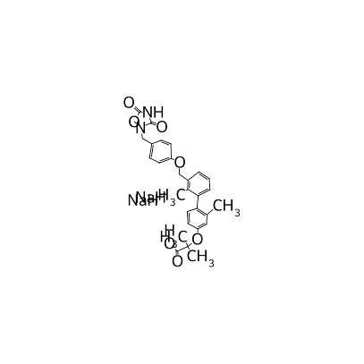 Cc1cc(OC(C)(C)C(=O)O)ccc1-c1cccc(COc2ccc(Cn3oc(=O)[nH]c3=O)cc2)c1C.[NaH].[NaH]